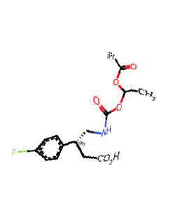 CC(OC(=O)NC[C@H](CC(=O)O)c1ccc(F)cc1)OC(=O)C(C)C